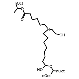 CCCCCCCCC(C)OC(=O)CCCCCN(CCO)CCCCCCCC(O)OC(CCCCCCCC)CCCCCCCC